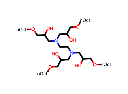 CCCCCCCCOCC(O)CN(CCN(CC(O)COCCCCCCCC)CC(O)COCCCCCCCC)CC(O)COCCCCCCCC